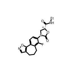 CCNC(=O)[C@H]1CN(c2ccc3c(c2F)CCCc2cnoc2-3)C(=O)O1